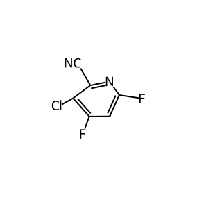 N#Cc1nc(F)cc(F)c1Cl